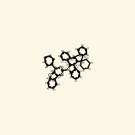 c1ccc(-c2nc(-n3c4ccccc4c4c5c(c6ccccc6c43)-c3ccccc3C53CCCCC3)nc3c2oc2ccccc23)cc1